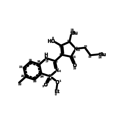 CCOP1(=O)N=C(C2=C(O)C(C(C)(C)C)N(CCC(C)(C)C)C2=O)Nc2ccc(C)cc21